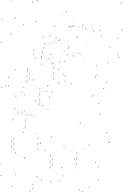 CC1CNC(=O)c2cc3ccc(C(=O)Nc4cccc(-c5ccccc5)c4)cc3n21